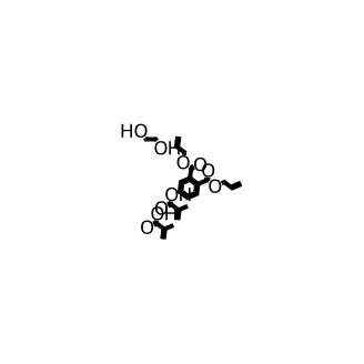 C=C(C)C(=O)O.C=C(C)C(=O)O.C=CCOC(=O)c1ccccc1C(=O)OCC=C.OCCO